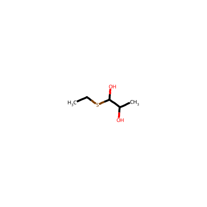 CCSC(O)C(C)O